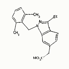 CCc1nn(Cc2c(C)cccc2C)c2cc(CC(=O)O)ccc12